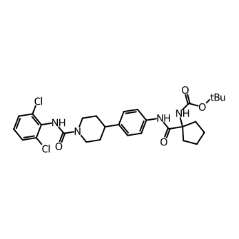 CC(C)(C)OC(=O)NC1(C(=O)Nc2ccc(C3CCN(C(=O)Nc4c(Cl)cccc4Cl)CC3)cc2)CCCC1